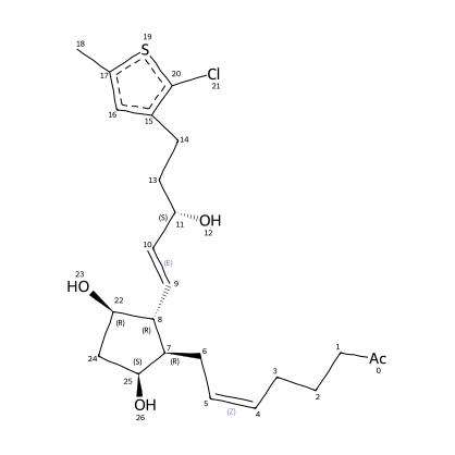 CC(=O)CCC/C=C\C[C@@H]1[C@@H](/C=C/[C@@H](O)CCc2cc(C)sc2Cl)[C@H](O)C[C@@H]1O